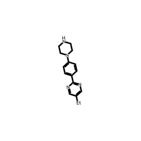 CCc1cnc(-c2ccc(N3CCNCC3)cc2)nc1